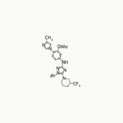 COc1cc(Nc2nc(N3CCCC(C(F)(F)F)C3)n(C(C)C)n2)ccc1-n1cnc(C)c1